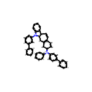 C1=CC2c3ccccc3N(c3cccc(-c4ccccc4)c3)C2CC2=C1C=CC(N(c1ccccc1)c1ccc(-c3ccccc3)cc1)C2